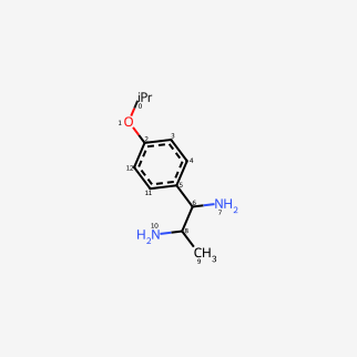 CC(C)Oc1ccc(C(N)C(C)N)cc1